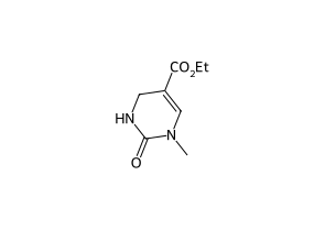 CCOC(=O)C1=CN(C)C(=O)NC1